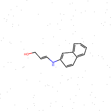 OCC=CNc1ccc2ccccc2c1